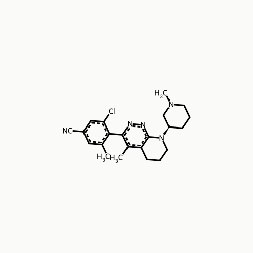 Cc1cc(C#N)cc(Cl)c1-c1nnc2c(c1C)CCCN2[C@@H]1CCCN(C)C1